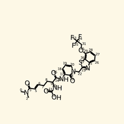 CN(C)C(=O)C=CCCC(NC(=O)O)C(=O)Nc1cccn(Cc2nc3cccc(OCC(F)(F)F)c3s2)c1=O